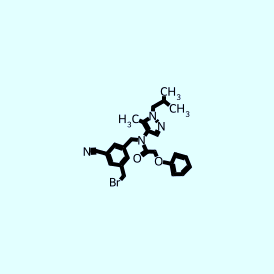 Cc1c(N(Cc2cc(C#N)cc(CBr)c2)C(=O)COc2ccccc2)cnn1CC(C)C